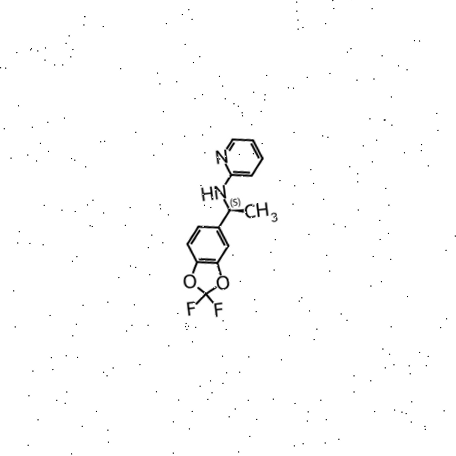 C[C@H](Nc1ccccn1)c1ccc2c(c1)OC(F)(F)O2